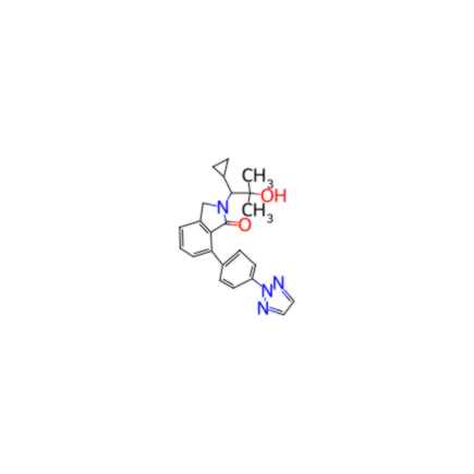 CC(C)(O)C(C1CC1)N1Cc2cccc(-c3ccc(-n4nccn4)cc3)c2C1=O